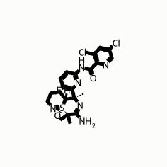 CC1(C)C(N)=N[C@](C)(c2nc(NC(=O)c3ncc(Cl)cc3Cl)ccc2F)[C@H]2CCCN=[S@]21=O